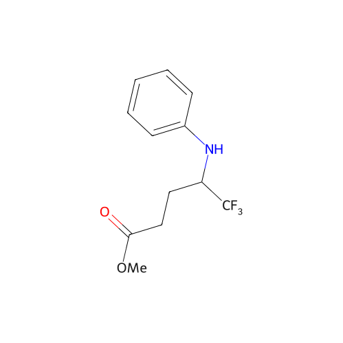 COC(=O)CCC(Nc1ccccc1)C(F)(F)F